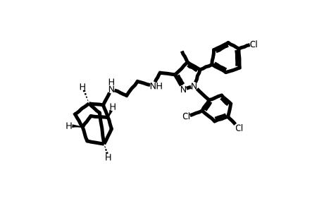 Cc1c(CNCCNC2[C@H]3C[C@@H]4C[C@@H](C[C@H]2C4)C3)nn(-c2ccc(Cl)cc2Cl)c1-c1ccc(Cl)cc1